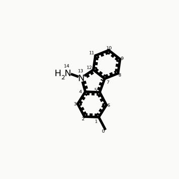 Cc1ccc2c(c1)c1ccccc1n2N